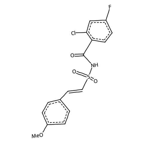 COc1ccc(C=CS(=O)(=O)NC(=O)c2ccc(F)cc2Cl)cc1